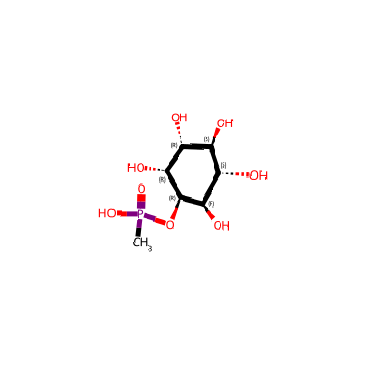 CP(=O)(O)O[C@H]1[C@H](O)[C@H](O)[C@@H](O)[C@H](O)[C@H]1O